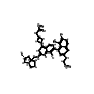 CCc1c(F)ccc2cc(OCOC)cc(-c3ncc4c(N5CC(CC(=O)OC)C5)nc(OC[C@@]56CCCN5C[C@H](F)C6)nc4c3F)c12